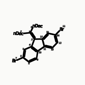 CCCCCCCCCCC(CCCCCCCCCC)=C1c2cc(Br)ccc2-c2ccc(Br)cc21